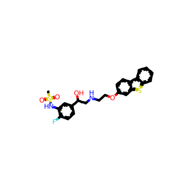 CS(=O)(=O)Nc1cc(C(O)CNCCOc2ccc3c(c2)sc2ccccc23)ccc1F